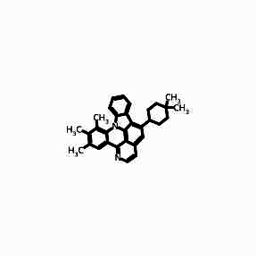 Cc1cc2c3nccc4cc(C5CCC(C)(C)CC5)c5c6ccccc6n(c2c(C)c1C)c5c43